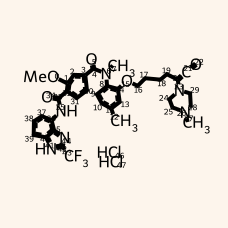 COc1cc(C(=O)N(C)c2ccc(C)cc2OCCCCC(=C=O)N2CCN(C)CC2)ccc1C(=O)Nc1cccc2[nH]c(C(F)(F)F)nc12.Cl.Cl